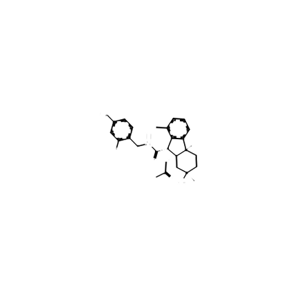 CC(=O)C[C@@]12C[C@@](C)(O)CC[C@H]1c1cccc(C)c1[C@@H]2C(=O)NCc1ccc(Cl)cc1Cl